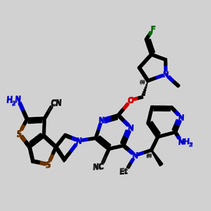 CCN(c1nc(OC[C@@H]2CC(=CF)CN2C)nc(N2CC3(C2)SCc2sc(N)c(C#N)c23)c1C#N)[C@H](C)c1cccnc1N